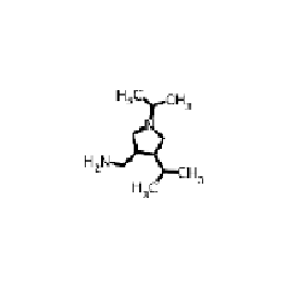 CC(C)C1CN(C(C)C)CC1CN